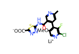 COc1cnc(Cl)c(F)c1-c1cc(C)ncc1C(=O)Nc1nnc(C(=O)[O-])s1.[Li+]